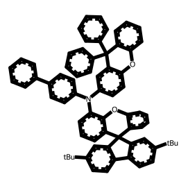 CC(C)(C)c1ccc2c(c1)C1(c3ccccc3Oc3c(N(c4ccc(-c5ccccc5)cc4)c4ccc5c(c4)C(c4ccccc4)(c4ccccc4)c4ccccc4O5)cccc31)c1cc(C(C)(C)C)ccc1-2